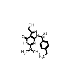 CC[C@H](c1ccc(CC(F)(F)F)cc1)n1nc(CO)c2c(=O)[nH]c(N(C)C)nc21